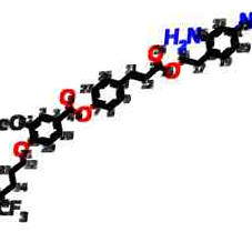 COc1cc(C(=O)Oc2ccc(/C=C/C(=O)OCCc3ccc(N)cc3N)cc2)ccc1OCCCCC(F)(F)F